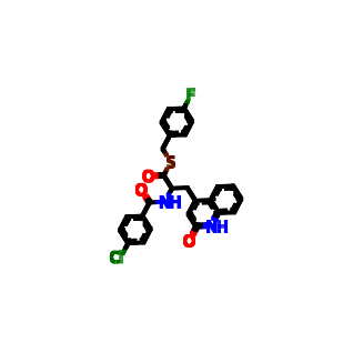 O=C(NC(Cc1cc(=O)[nH]c2ccccc12)C(=O)SCc1ccc(F)cc1)c1ccc(Cl)cc1